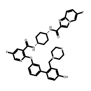 O=C(N[C@H]1CC[C@@H](NC(=O)c2cc(F)cnc2Oc2cccc(-c3ccc(O)cc3CN3CCSCC3)c2)CC1)c1cn2cc(F)ccc2n1